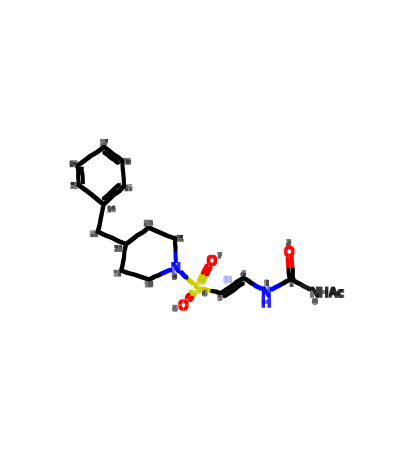 CC(=O)NC(=O)N/C=C/S(=O)(=O)N1CCC(Cc2ccccc2)CC1